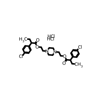 CCC(C(=O)OCCN1CCN(CCOC(=O)C(CC)c2ccc(Cl)cc2)CC1)c1ccc(Cl)cc1.Cl.Cl